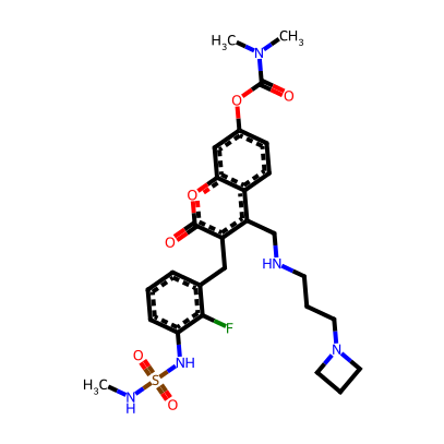 CNS(=O)(=O)Nc1cccc(Cc2c(CNCCCN3CCC3)c3ccc(OC(=O)N(C)C)cc3oc2=O)c1F